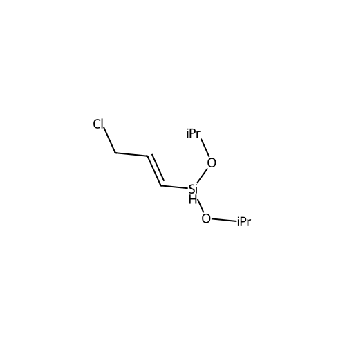 CC(C)O[SiH](C=CCCl)OC(C)C